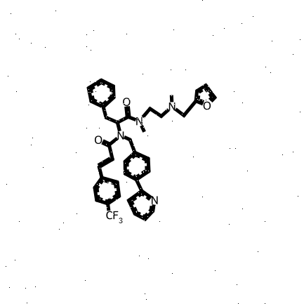 CN(CCN(C)C(=O)C(Cc1ccccc1)N(Cc1ccc(-c2ccccn2)cc1)C(=O)C=Cc1ccc(C(F)(F)F)cc1)Cc1ccco1